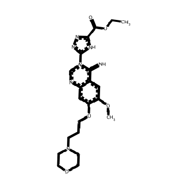 CCOC(=O)c1nnc(-n2cnc3cc(OCCCN4CCOCC4)c(OC)cc3c2=N)[nH]1